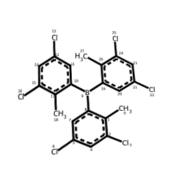 Cc1c(Cl)cc(Cl)cc1B(c1cc(Cl)cc(Cl)c1C)c1cc(Cl)cc(Cl)c1C